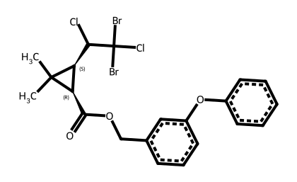 CC1(C)[C@H](C(=O)OCc2cccc(Oc3ccccc3)c2)[C@@H]1C(Cl)C(Cl)(Br)Br